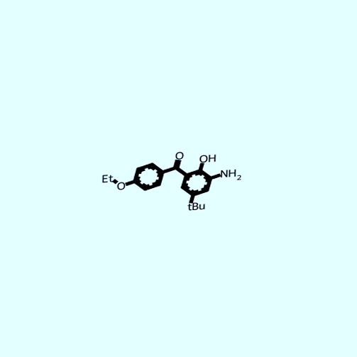 CCOc1ccc(C(=O)c2cc(C(C)(C)C)cc(N)c2O)cc1